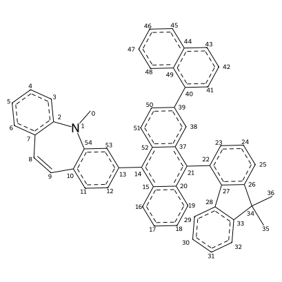 CN1c2ccccc2C=Cc2ccc(-c3c4ccccc4c(-c4cccc5c4-c4ccccc4C5(C)C)c4cc(-c5cccc6ccccc56)ccc34)cc21